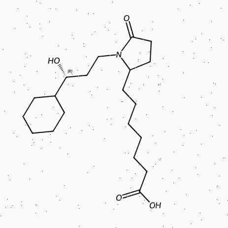 O=C(O)CCCCCCC1CCC(=O)N1CC[C@@H](O)C1CCCCC1